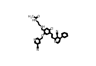 CC(=O)NCCNCc1cc(Cl)c(C=Cc2nccc(-c3ccccc3)c2C#N)cc1OCc1cncc(C#N)c1